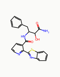 NC(=O)C(O)C(Cc1ccccc1)NC(=O)c1cccnc1-c1nc2ccccc2s1